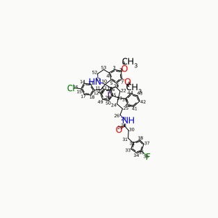 COc1cc2c(cc1OC)C(Cc1ccc(Cl)cc1)(C(I)CCC(CCCNC(=O)CCc1ccc(F)cc1)(c1ccccc1)c1ccccc1)NCC2